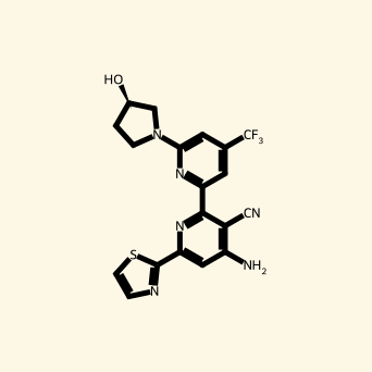 N#Cc1c(N)cc(-c2nccs2)nc1-c1cc(C(F)(F)F)cc(N2CC[C@@H](O)C2)n1